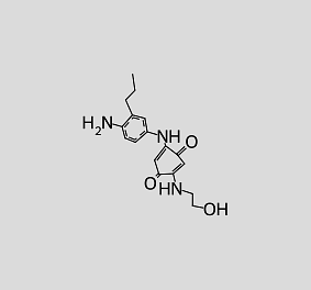 CCCc1cc(NC2=CC(=O)C(NCCO)=CC2=O)ccc1N